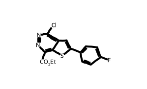 CCOC(=O)c1nnc(Cl)c2cc(-c3ccc(F)cc3)sc12